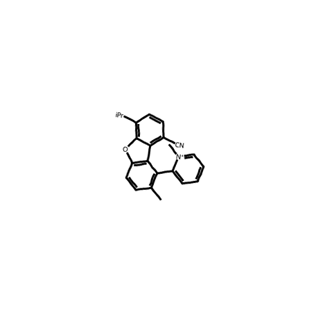 Cc1ccc2oc3c(C(C)C)ccc(C#N)c3c2c1-c1cccc[n+]1C